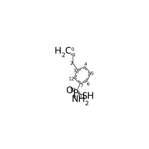 C=CCc1cccc(P(N)(=O)S)c1